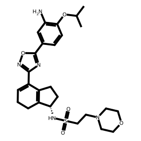 CC(C)Oc1ccc(-c2nc(C3=CCCC4=C3CC[C@@H]4NS(=O)(=O)CCN3CCOCC3)no2)cc1N